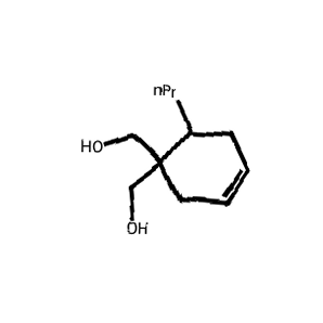 CCCC1CC=CCC1(CO)CO